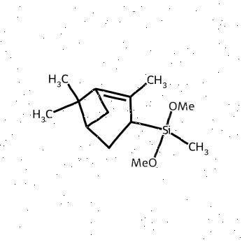 CO[Si](C)(OC)C1CC2CC(=C1C)C2(C)C